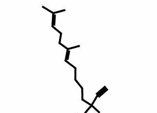 C#CC(C)(O)CCCC/C=C(\C)CCC=C(C)C